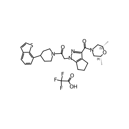 C[C@@H]1CN(C(=O)c2nn(CC(=O)N3CCC(c4cccc5ccsc45)CC3)c3c2CCC3)C[C@H](C)O1.O=C(O)C(F)(F)F